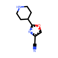 N#Cc1coc(C2CCNCC2)n1